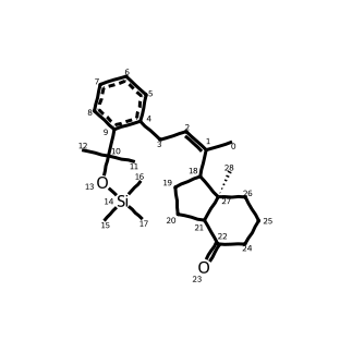 C/C(=C/Cc1ccccc1C(C)(C)O[Si](C)(C)C)C1CCC2C(=O)CCC[C@@]21C